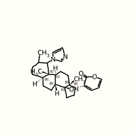 CC1CC[C@@H]2CC[C@@H]3[C@H](CC[C@]4(C)[C@H](c5cccoc5=O)CC[C@]34O)[C@@]2(C)C1n1ccnc1